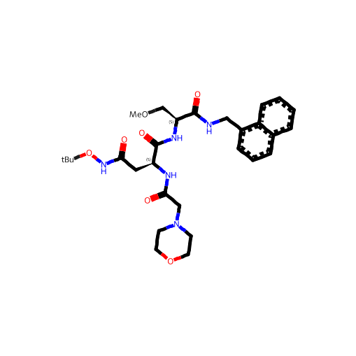 COC[C@H](NC(=O)[C@H](CC(=O)NOC(C)(C)C)NC(=O)CN1CCOCC1)C(=O)NCc1cccc2ccccc12